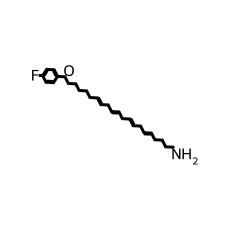 NCCCCC=CCC=CCC=CCC=CCCCCCC(=O)c1ccc(F)cc1